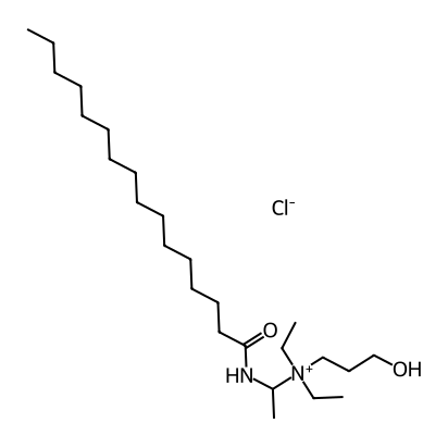 CCCCCCCCCCCCCCCC(=O)NC(C)[N+](CC)(CC)CCCO.[Cl-]